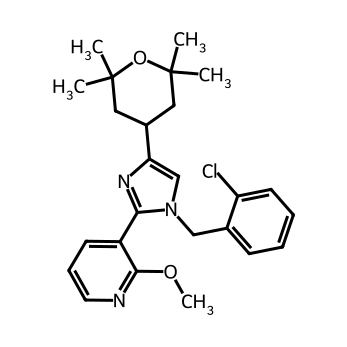 COc1ncccc1-c1nc(C2CC(C)(C)OC(C)(C)C2)cn1Cc1ccccc1Cl